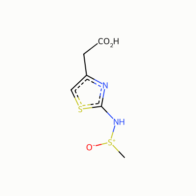 C[S+]([O-])Nc1nc(CC(=O)O)cs1